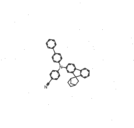 N#Cc1ccc(N(c2ccc(-c3ccccc3)cc2)c2ccc3c(c2)C2(CC4CCC2C4)c2ccccc2-3)cc1